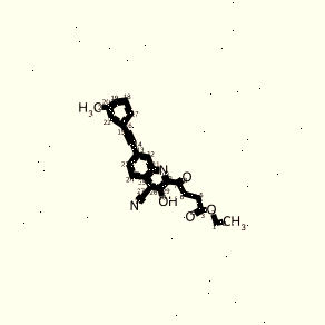 CCOC(=O)CCC(=O)c1nc2cc(C#Cc3cccc(C)c3)ccc2c(C#N)c1O